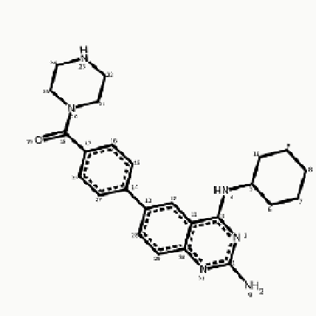 Nc1nc(NC2CCCCC2)c2cc(-c3ccc(C(=O)N4CCNCC4)cc3)ccc2n1